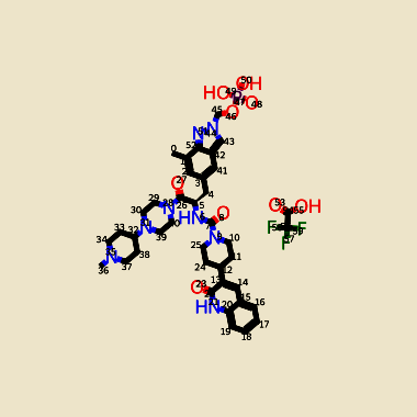 Cc1cc(C[C@@H](NC(=O)N2CCC(c3cc4ccccc4[nH]c3=O)CC2)C(=O)N2CCN(C3CCN(C)CC3)CC2)cc2cn(COP(=O)(O)O)nc12.O=C(O)C(F)(F)F